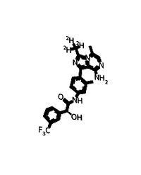 [2H]C([2H])([2H])c1nc(-c2ccc(NC(=O)[C@@H](O)c3cccc(C(F)(F)F)c3)cc2C)c2c(N)ncc(C)n12